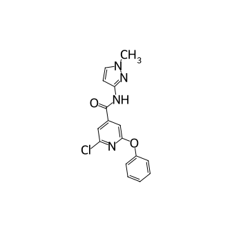 Cn1ccc(NC(=O)c2cc(Cl)nc(Oc3ccccc3)c2)n1